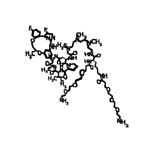 CC(C)[C@H](NC(=O)[C@@H]1CCCN1C(=O)[C@H](CC(N)=O)NC(=O)CN(C)CCN(C)CCN(C)CCNC(=O)[C@H](CCCCNC(=O)CCOCCOCCOCCN)NC(=O)CCOCCOCCOCCN)C(=O)N=[S@](C)(=O)Cc1cc2cc(c1)O[C@H](C)CCOc1cc(F)ccc1-c1nc(ncc1F)N2